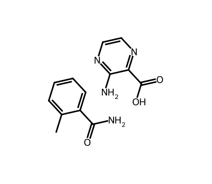 Cc1ccccc1C(N)=O.Nc1nccnc1C(=O)O